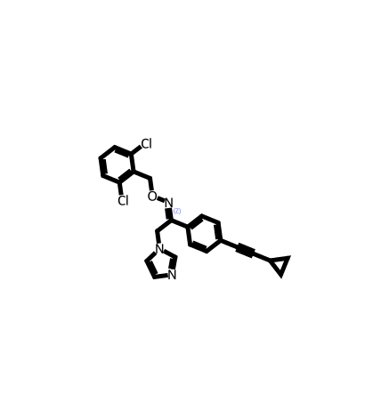 Clc1cccc(Cl)c1CO/N=C(\Cn1ccnc1)c1ccc(C#CC2CC2)cc1